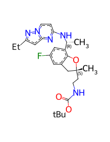 CCc1cc2nc(N[C@H](C)c3cc(F)cc4c3O[C@](C)(CCNC(=O)OC(C)(C)C)C4)ccn2n1